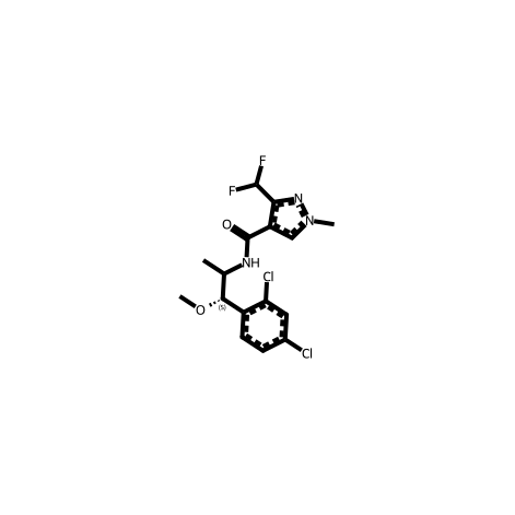 CO[C@@H](c1ccc(Cl)cc1Cl)C(C)NC(=O)c1cn(C)nc1C(F)F